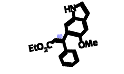 CCOC(=O)/C=C(\c1ccccc1)c1cc2[nH]ccc2cc1OC